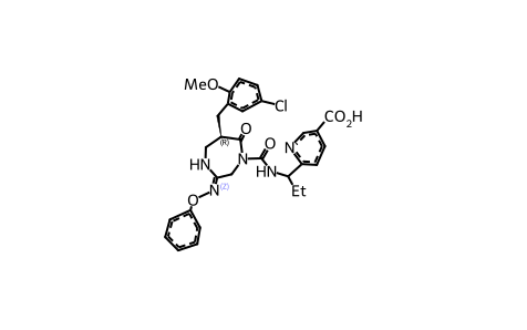 CCC(NC(=O)N1C/C(=N/Oc2ccccc2)NC[C@@H](Cc2cc(Cl)ccc2OC)C1=O)c1ccc(C(=O)O)cn1